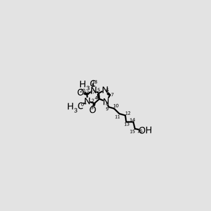 Cn1c(=O)c2c(ncn2CCCCCCCO)n(C)c1=O